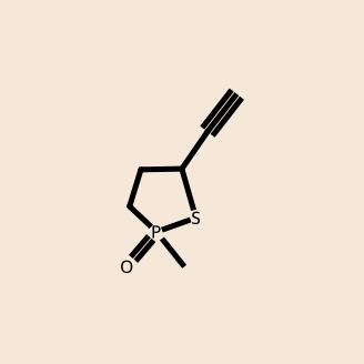 C#CC1CCP(C)(=O)S1